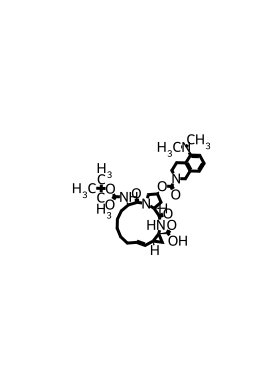 CN(C)c1cccc2c1CCN(C(=O)O[C@@H]1C[C@H]3C(=O)N[C@]4(C(=O)O)C[C@H]4/C=C/CCCCC[C@H](NC(=O)OC(C)(C)C)C(=O)N3C1)C2